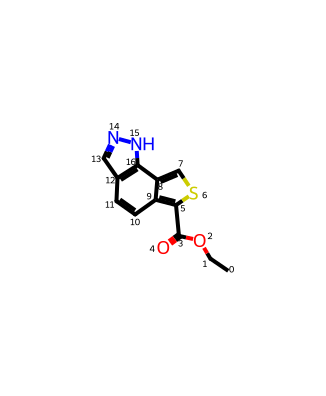 CCOC(=O)c1scc2c1ccc1cn[nH]c12